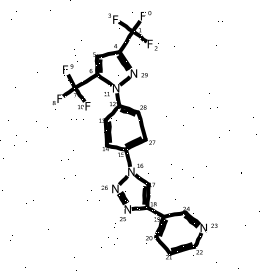 FC(F)(F)c1cc(C(F)(F)F)n(-c2ccc(-n3cc(-c4cccnc4)nn3)cc2)n1